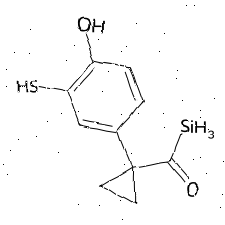 O=C([SiH3])C1(c2ccc(O)c(S)c2)CC1